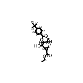 CCOC(=O)C1C2O[C@@H]3COC(c4ccc(C(C)(C)C)cc4)O[C@H]3[C@H](O)C21